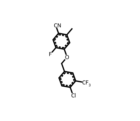 Cc1cc(OCc2ccc(Cl)c(C(F)(F)F)c2)c(F)cc1C#N